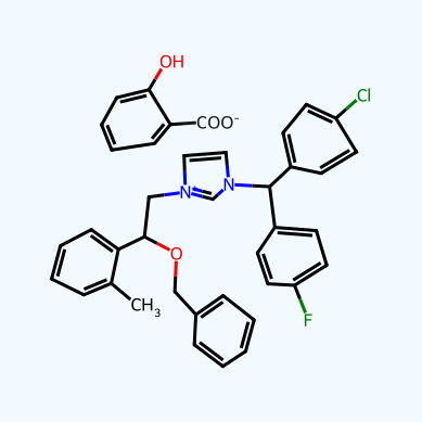 Cc1ccccc1C(C[n+]1ccn(C(c2ccc(F)cc2)c2ccc(Cl)cc2)c1)OCc1ccccc1.O=C([O-])c1ccccc1O